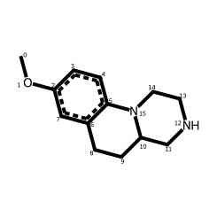 COc1ccc2c(c1)CCC1CNCCN21